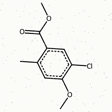 COC(=O)c1cc(Cl)c(OC)cc1C